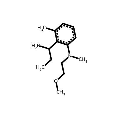 CCC(N)c1c(C)cccc1N(C)CCOC